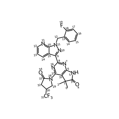 CC1(C)C(=O)Nc2nc(-c3nn(Cc4ccccc4F)c4ncccc34)nc(N3CC(C(F)(F)F)CC3=O)c21